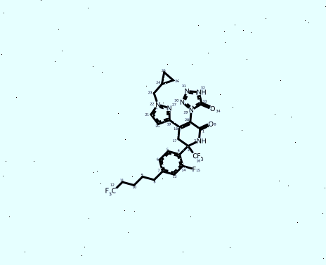 O=C1NC(c2ccc(CCCCC(F)(F)F)cc2F)(C(F)(F)F)CC(c2ccn(CC3CC3)n2)=C1n1nn[nH]c1=O